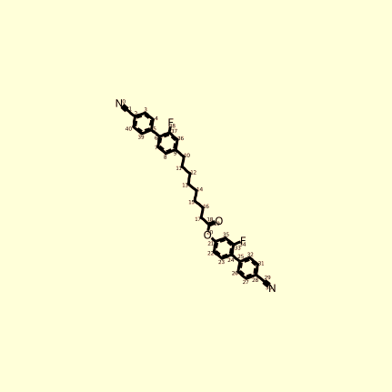 N#Cc1ccc(-c2ccc(CCCCCCCCC(=O)Oc3ccc(-c4ccc(C#N)cc4)c(F)c3)cc2F)cc1